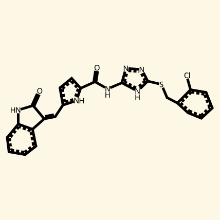 O=C1Nc2ccccc2/C1=C/c1ccc(C(=O)Nc2nnc(SCc3ccccc3Cl)[nH]2)[nH]1